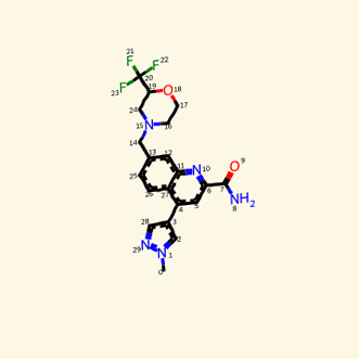 Cn1cc(-c2cc(C(N)=O)nc3cc(CN4CCOC(C(F)(F)F)C4)ccc23)cn1